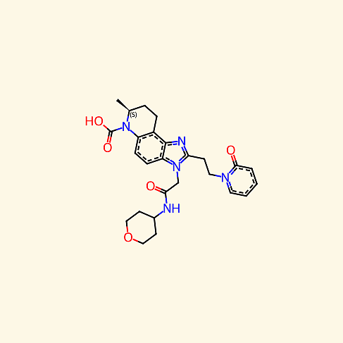 C[C@H]1CCc2c(ccc3c2nc(CCn2ccccc2=O)n3CC(=O)NC2CCOCC2)N1C(=O)O